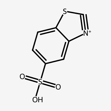 O=S(=O)(O)c1ccc2sc#[n+]c2c1